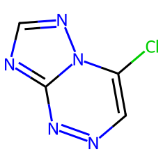 Clc1cnnc2ncnn12